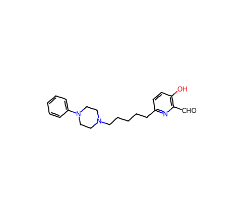 O=Cc1nc(CCCCCN2CCN(c3ccccc3)CC2)ccc1O